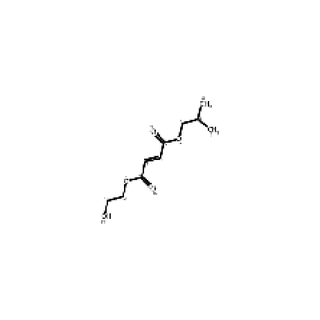 CC(C)COC(=O)/C=C/C(=O)OCCO